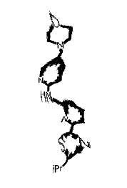 CC(C)c1cnc(-c2cccc(Nc3ccc(N4CCOCC4)cn3)n2)s1